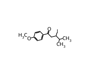 COc1ccc(C(=O)CC(I)C(C)C)cc1